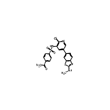 CNc1nc2ccc(-c3cnc(Cl)c(NS(=O)(=O)c4ccc(C(C)=O)cc4)c3)cc2s1